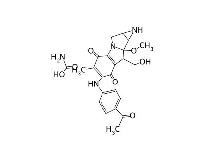 COC12C(CO)C3=C(C(=O)C(C)=C(Nc4ccc(C(C)=O)cc4)C3=O)N1CC1NC12.NC(=O)O